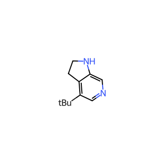 CC(C)(C)c1cncc2c1CCN2